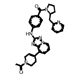 CC(=O)N1CC=C(c2cccn3nc(Nc4ccc(C(=O)N5CCCC5Cc5ccccn5)cc4)nc23)CC1